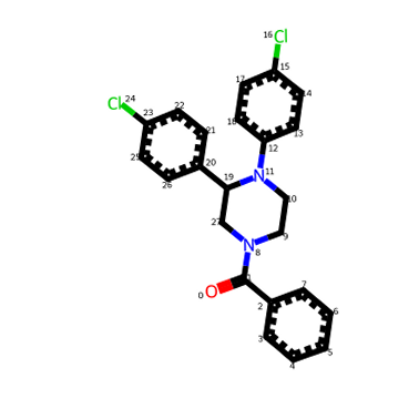 O=C(c1ccccc1)N1CCN(c2ccc(Cl)cc2)C(c2ccc(Cl)cc2)C1